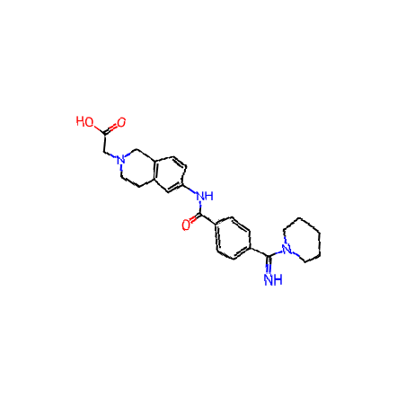 N=C(c1ccc(C(=O)Nc2ccc3c(c2)CCN(CC(=O)O)C3)cc1)N1CCCCC1